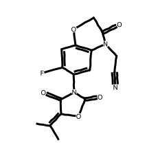 CC(C)=C1OC(=O)N(c2cc3c(cc2F)OCC(=O)N3CC#N)C1=O